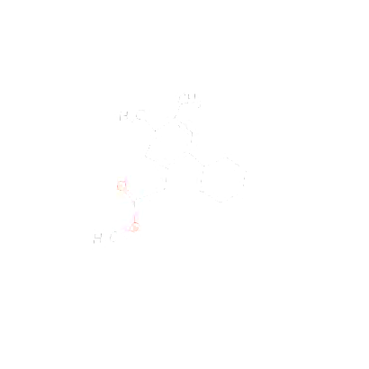 COC(=O)Cc1cc(C)c(C)cc1C1CCCCC1